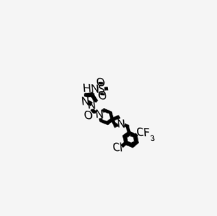 CS(=O)(=O)Nc1cnn(C(=O)N2CCC3(CC2)CN(Cc2cc(Cl)ccc2C(F)(F)F)C3)c1